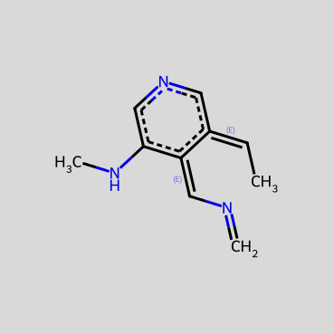 C=N/C=c1/c(NC)cnc/c1=C/C